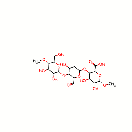 CO[C@H]1O[C@H](C(=O)O)C(OC2C[C@H](O)C(OC3O[C@H](CO)[C@@H](OC)[C@H](O)[C@H]3O)[C@H](C=O)O2)[C@H](O)[C@H]1O